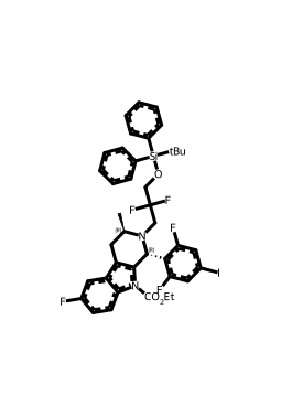 CCOC(=O)n1c2c(c3cc(F)ccc31)C[C@@H](C)N(CC(F)(F)CO[Si](c1ccccc1)(c1ccccc1)C(C)(C)C)[C@@H]2c1c(F)cc(I)cc1F